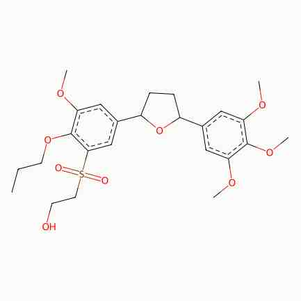 CCCOc1c(OC)cc(C2CCC(c3cc(OC)c(OC)c(OC)c3)O2)cc1S(=O)(=O)CCO